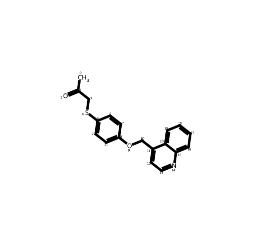 CC(=O)CSc1ccc(OCc2ccnc3ccccc23)cc1